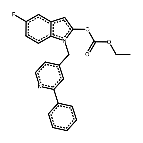 CCOC(=O)Oc1cc2cc(F)ccc2n1Cc1ccnc(-c2ccccc2)c1